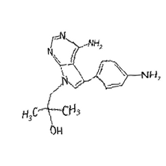 CC(C)(O)Cn1cc(-c2ccc(N)cc2)c2c(N)ncnc21